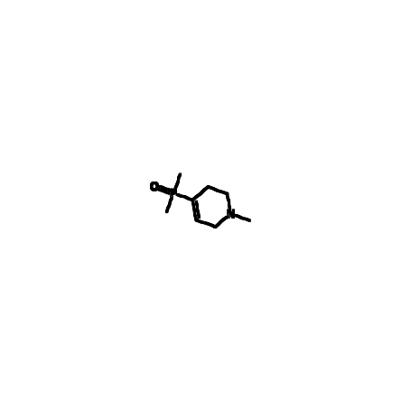 CN1CC=C(P(C)(C)=O)CC1